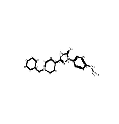 COc1ccc(-n2nc(C3CCN(CC4CCCCC4)CC3)[nH]c2=O)cc1